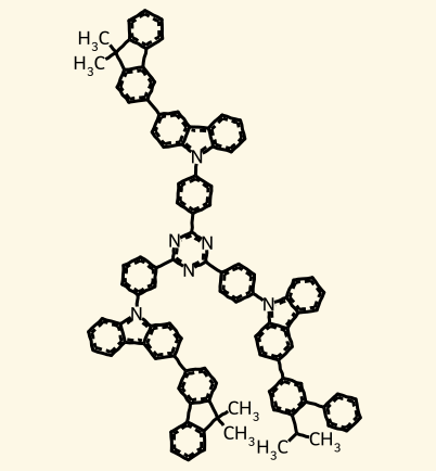 CC(C)c1ccc(-c2ccc3c(c2)c2ccccc2n3-c2ccc(-c3nc(-c4ccc(-n5c6ccccc6c6cc(-c7ccc8c(c7)-c7ccccc7C8(C)C)ccc65)cc4)nc(-c4cccc(-n5c6ccccc6c6cc(-c7ccc8c(c7)-c7ccccc7C8(C)C)ccc65)c4)n3)cc2)cc1-c1ccccc1